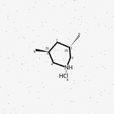 C[C@@H]1CNC[C@@H](C)C1.Cl